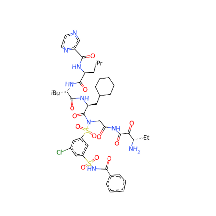 CC[C@H](N)C(=O)C(=O)NC(=O)CN(C(=O)[C@H](CC1CCCCC1)NC(=O)[C@@H](NC(=O)[C@H](CC(C)C)NC(=O)c1cnccn1)[C@@H](C)CC)S(=O)(=O)c1cc(Cl)cc(S(=O)(=O)NC(=O)c2ccccc2)c1